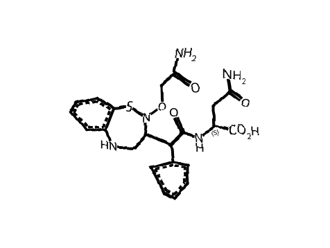 NC(=O)CON1Sc2ccccc2NCC1C(C(=O)N[C@@H](CC(N)=O)C(=O)O)c1ccccc1